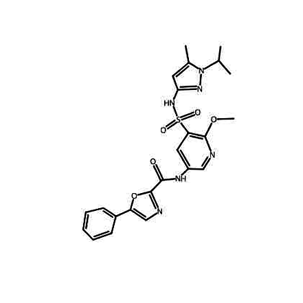 COc1ncc(NC(=O)c2ncc(-c3ccccc3)o2)cc1S(=O)(=O)Nc1cc(C)n(C(C)C)n1